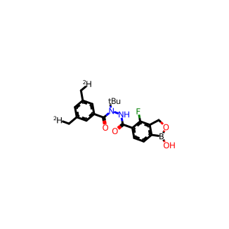 [2H]Cc1cc(C[2H])cc(C(=O)N(NC(=O)c2ccc3c(c2F)COB3O)C(C)(C)C)c1